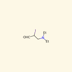 CCN(CC)CC(I)[C]=O